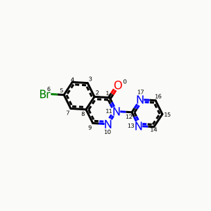 O=c1c2ccc(Br)cc2cnn1-c1ncccn1